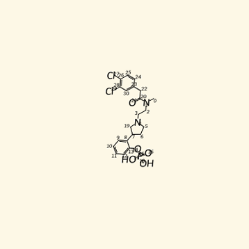 CN(CCN1CCC(c2ccccc2OP(=O)(O)O)C1)C(=O)Cc1ccc(Cl)c(Cl)c1